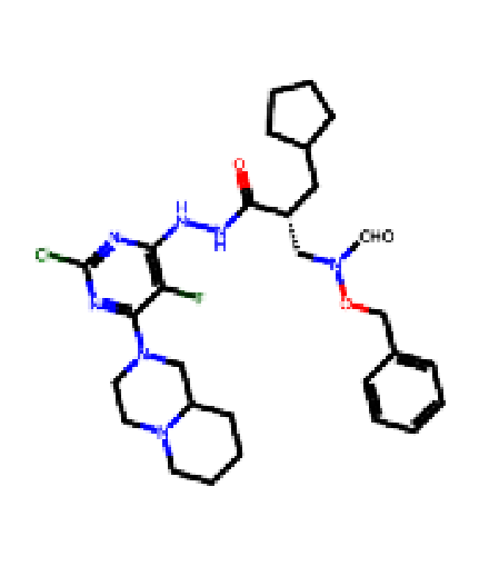 O=CN(C[C@@H](CC1CCCC1)C(=O)NNc1nc(Cl)nc(N2CCN3CCCCC3C2)c1F)OCc1ccccc1